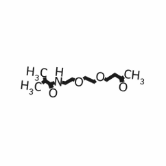 CC(=O)CCOCCOCCNC(=O)C(C)C